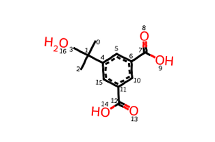 CC(C)(C)c1cc(C(=O)O)cc(C(=O)O)c1.O